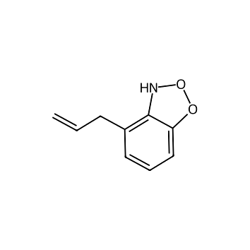 C=CCc1cccc2c1NOO2